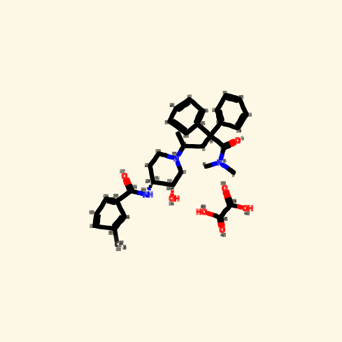 CC(CC(C(=O)N(C)C)(c1ccccc1)c1ccccc1)N1CC[C@@H](NC(=O)c2cccc(C(F)(F)F)c2)[C@@H](O)C1.O=C(O)C(=O)O